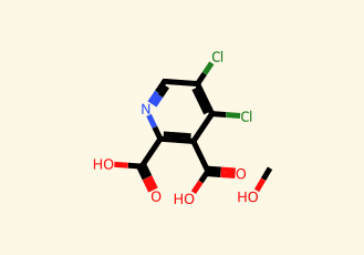 CO.O=C(O)c1ncc(Cl)c(Cl)c1C(=O)O